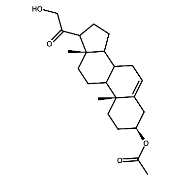 CC(=O)O[C@H]1CC[C@@]2(C)C(=CCC3C4CCC(C(=O)CO)[C@@]4(C)CCC32)C1